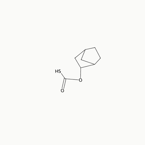 O=C(S)OC1CC2CCC1C2